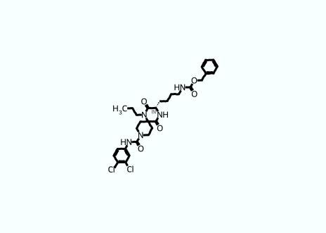 CCCN1C(=O)[C@H](CCCCNC(=O)OCc2ccccc2)NC(=O)C12CCN(C(=O)Nc1ccc(Cl)c(Cl)c1)CC2